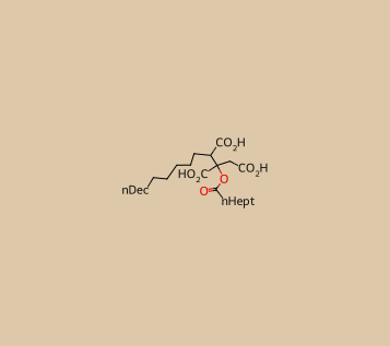 CCCCCCCCCCCCCCCC(C(=O)O)C(CC(=O)O)(OC(=O)CCCCCCC)C(=O)O